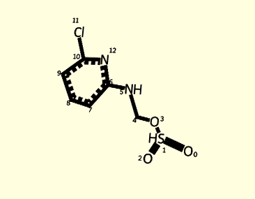 O=[SH](=O)OCNc1cccc(Cl)n1